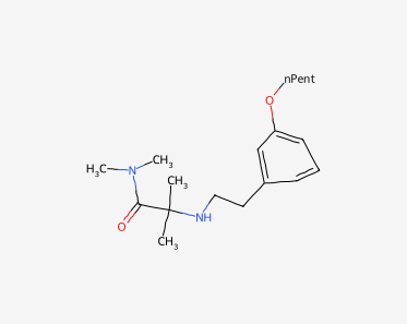 CCCCCOc1cccc(CCNC(C)(C)C(=O)N(C)C)c1